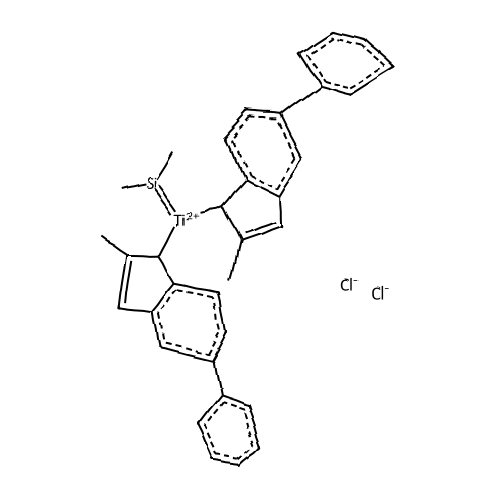 CC1=Cc2cc(-c3ccccc3)ccc2[CH]1[Ti+2]([CH]1C(C)=Cc2cc(-c3ccccc3)ccc21)=[Si](C)C.[Cl-].[Cl-]